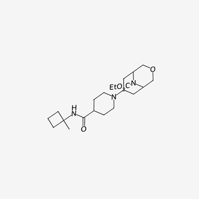 CCOC(=O)N1C2COCC1CC(N1CCC(C(=O)NC3(C)CCC3)CC1)C2